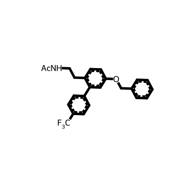 CC(=O)NCCc1ccc(OCc2ccccc2)cc1-c1ccc(C(F)(F)F)cc1